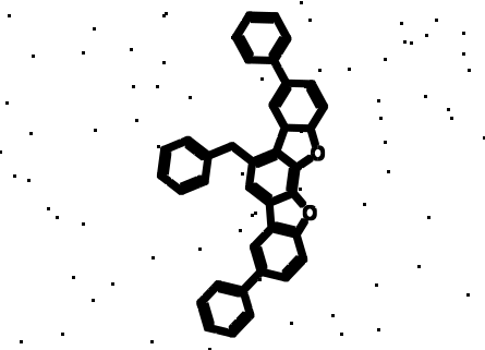 C1=CC2Oc3c(c(Cc4ccccc4)cc4c3oc3ccc(-c5ccccc5)cc34)C2C=C1c1ccccc1